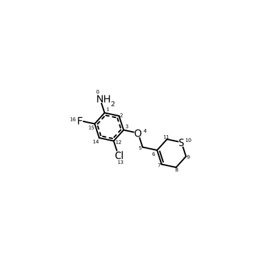 Nc1cc(OCC2=CCCSC2)c(Cl)cc1F